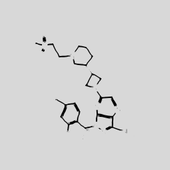 C[C@H](c1ccc(Cl)cc1Cl)n1nc(N)c2ncc(N3CC([C@@H]4CCCN(CCS(C)(=O)=O)C4)C3)nc21